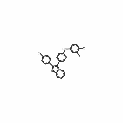 Cc1cc(Nc2ccc(-c3c(-c4ccc(Cl)cc4)nc4ccccn34)cn2)ccc1Cl